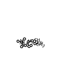 CC1(C)CCC(C)(C)c2c(-c3cccc(-c4cccc(-n5c6cc7c(cc6c6ccc8ccccc8c65)c5ccccc5n7-c5nc(-c6ccccc6)nc(-c6ccccc6)n5)c4)c3)cccc21